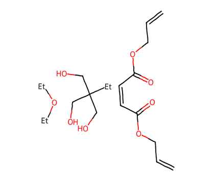 C=CCOC(=O)/C=C\C(=O)OCC=C.CCC(CO)(CO)CO.CCOCC